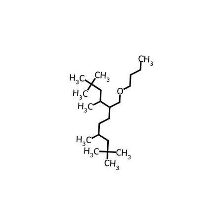 CCCCOCC(CCC(C)CC(C)(C)C)C(C)CC(C)(C)C